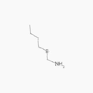 CCCC[B]CN